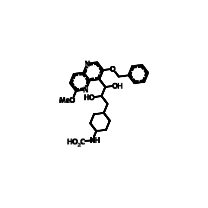 COc1ccc2ncc(OCc3ccccc3)c(C(O)C(O)CC3CCC(NC(=O)O)CC3)c2n1